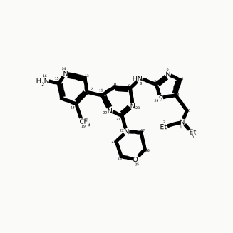 CCN(CC)Cc1cnc(Nc2cc(-c3cnc(N)cc3C(F)(F)F)nc(N3CCOCC3)n2)s1